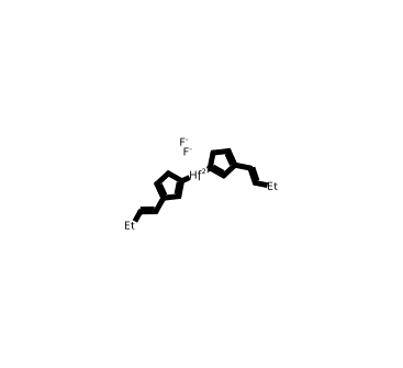 CCC=CC1=CC[C]([Hf+2][C]2=CC(C=CCC)=CC2)=C1.[F-].[F-]